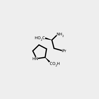 CC(C)C[C@H](N)C(=O)O.O=C(O)[C@@H]1CCCN1